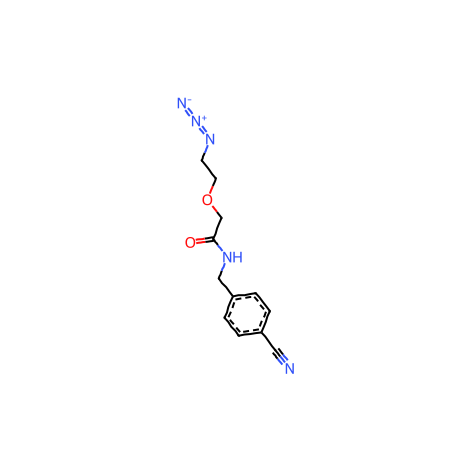 N#Cc1ccc(CNC(=O)COCCN=[N+]=[N-])cc1